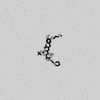 COCCCOc1cc(CC(CC(NC(=O)OC(C)(C)C)C(O)CC(C)C(=O)NCCN2CCCCC2)C(C)C)ccc1OC